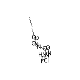 CCCCCCCCCCCCCCOC(=O)CCC(=O)N1CCN(CCCOc2cc3c(Nc4ccc(F)c(Cl)c4)ncnc3cc2OC)CC1